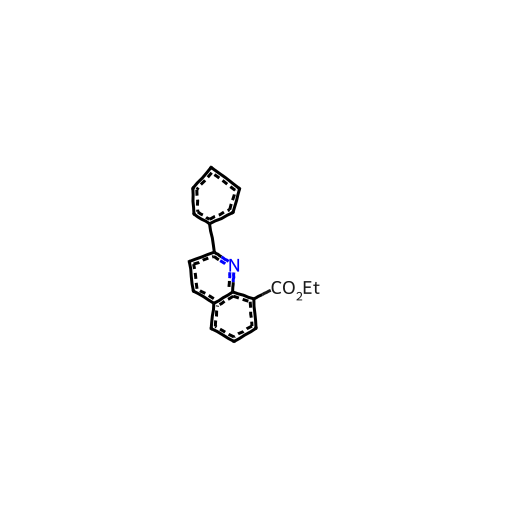 CCOC(=O)c1cccc2ccc(-c3ccccc3)nc12